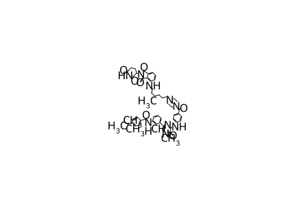 Cc1c(NC(=O)c2ccc(C(C)(C)C)cc2)cccc1-c1cn(C)c(=O)c(Nc2ccc(C(=O)N3CCN(CCCC(C)CCNc4cccc5c4C(=O)N(C4CCC(=O)NC4=O)C5=O)CC3)cc2)n1